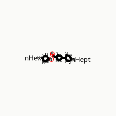 CCCCCCCc1ccc(-c2ccc(C(=O)Oc3ccc(CCCCCC)cc3)cc2)cc1